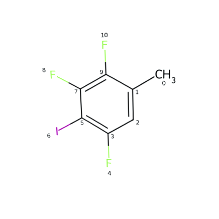 Cc1cc(F)c(I)c(F)c1F